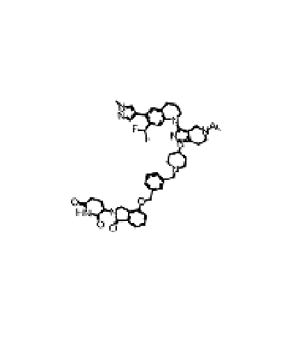 CC(=O)N1CCc2c(c(N3CCCc4cc(-c5cnn(C)c5)c(C(F)F)cc43)nn2C2CCN(Cc3cccc(COc4cccc5c4CN(C4CCC(=O)NC4=O)C5=O)c3)CC2)C1